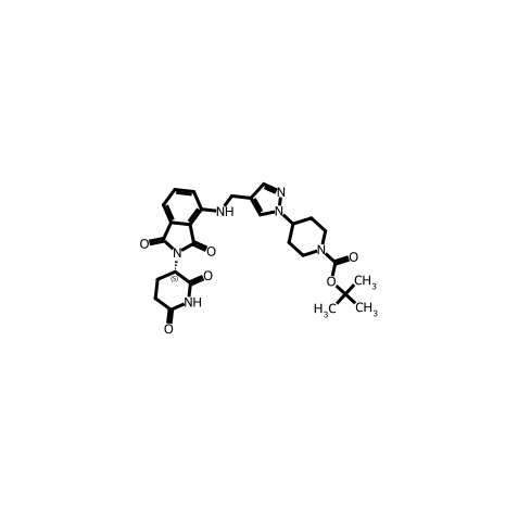 CC(C)(C)OC(=O)N1CCC(n2cc(CNc3cccc4c3C(=O)N([C@H]3CCC(=O)NC3=O)C4=O)cn2)CC1